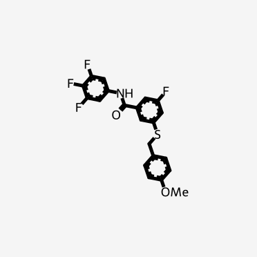 COc1ccc(CSc2cc(F)cc(C(=O)Nc3cc(F)c(F)c(F)c3)c2)cc1